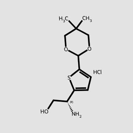 CC1(C)COC(c2ccc([C@H](N)CO)s2)OC1.Cl